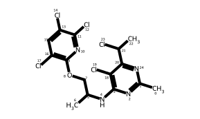 Cc1nc(NC(C)COc2nc(Cl)c(Cl)cc2Cl)c(Cl)c(C(C)Cl)n1